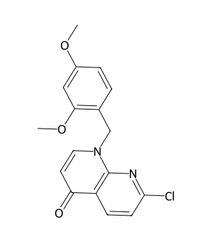 COc1ccc(Cn2ccc(=O)c3ccc(Cl)nc32)c(OC)c1